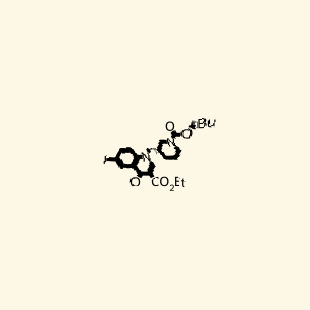 CCOC(=O)c1cn(C[C@H]2CCCN(C(=O)OC(C)(C)C)C2)c2ccc(I)cc2c1=O